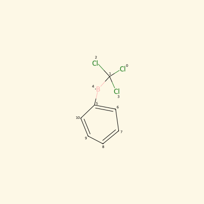 ClC(Cl)(Cl)[B]c1ccccc1